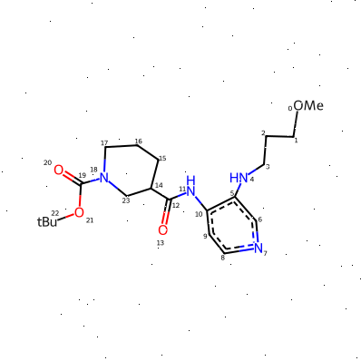 COCCCNc1cnccc1NC(=O)C1CCCN(C(=O)OC(C)(C)C)C1